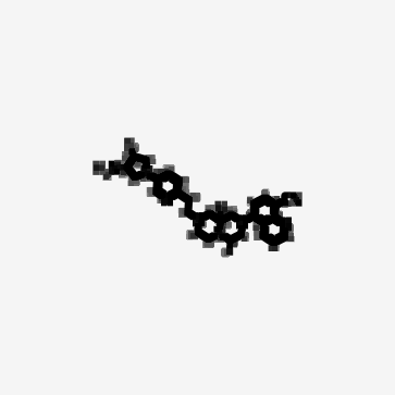 C[C@@H]1CN(c2ccc(C#N)c3ncccc23)C[C@@H]2CN(CCc3ccc(N4C[C@@H](N)[C@@H](F)C4)cn3)CCN21